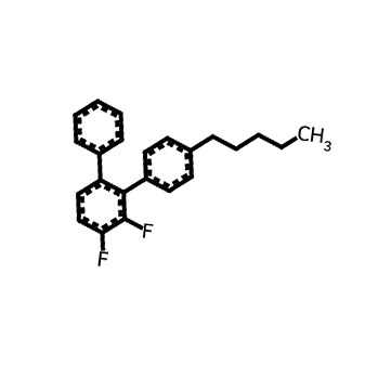 CCCCCc1ccc(-c2c(-c3ccccc3)ccc(F)c2F)cc1